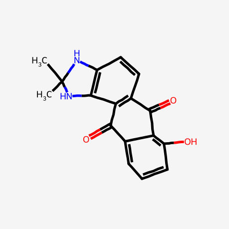 CC1(C)Nc2ccc3c(c2N1)C(=O)c1cccc(O)c1C3=O